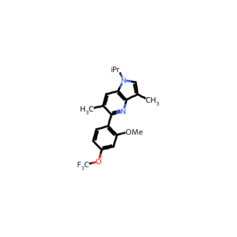 COc1cc(OC(F)(F)F)ccc1-c1nc2c(C)cn(C(C)C)c2cc1C